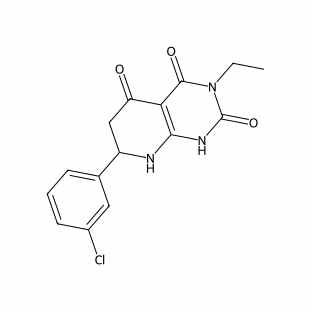 CCn1c(=O)[nH]c2c(c1=O)C(=O)CC(c1cccc(Cl)c1)N2